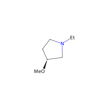 [CH2]CN1CC[C@H](OC)C1